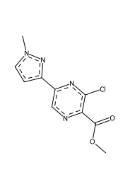 COC(=O)c1ncc(-c2ccn(C)n2)nc1Cl